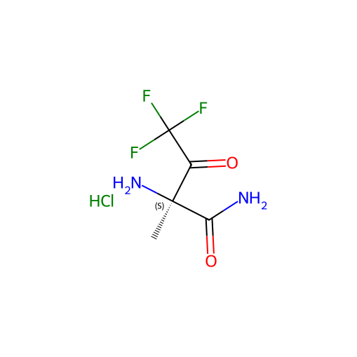 C[C@@](N)(C(N)=O)C(=O)C(F)(F)F.Cl